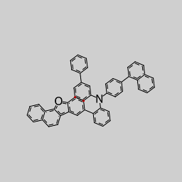 c1ccc(-c2cccc(N(c3ccc(-c4cccc5ccccc45)cc3)c3ccccc3-c3ccc4oc5c6ccccc6ccc5c4c3)c2)cc1